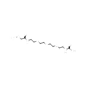 COCC(=O)NCCOCCOCCOCCNC(C)=O